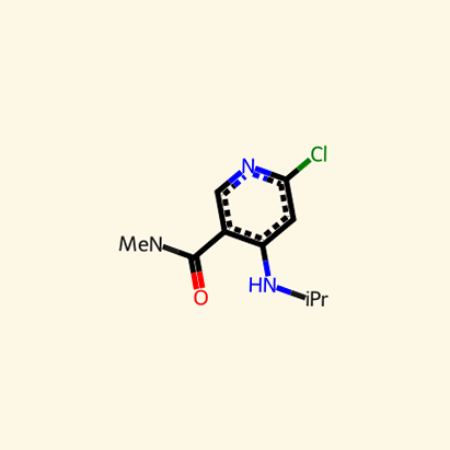 CNC(=O)c1cnc(Cl)cc1NC(C)C